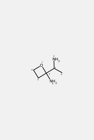 CC(N)C1(N)CCO1